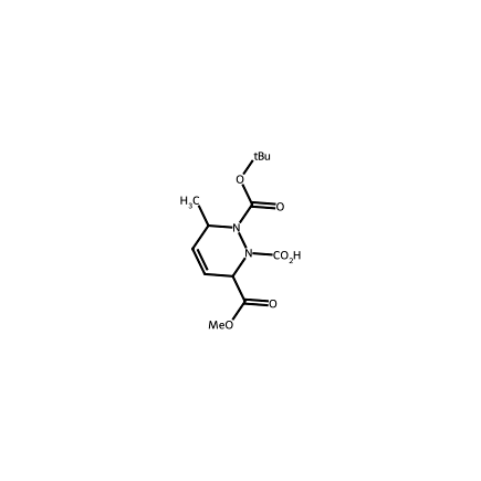 COC(=O)C1C=CC(C)N(C(=O)OC(C)(C)C)N1C(=O)O